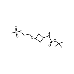 CC(C)(C)OC(=O)NC1CC(OCCOS(C)(=O)=O)C1